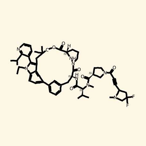 CCn1c(-c2cccnc2C(C)C)c2c3cc(ccc31)-c1cccc(c1)C[C@H](NC(=O)[C@H](C(C)C)N(C)C(=O)[C@H]1CCN(C(=O)C#CC3CC(F)(F)CN3C)C1)C(=O)N1CCC[C@H](N1)C(=O)OCC(C)(C)C2